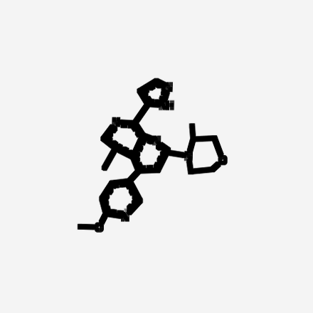 COc1ccc(-c2cc(N3CCOCC3C)nc3c(-c4ccn[nH]4)ncc(C)c23)cn1